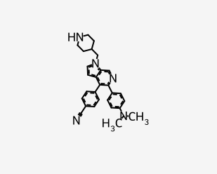 CN(C)c1ccc(-c2ncc3c(ccn3CC3CCNCC3)c2-c2ccc(C#N)cc2)cc1